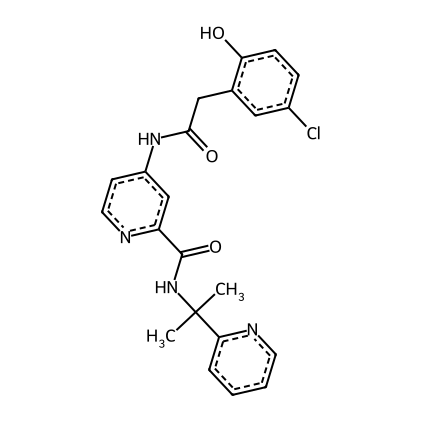 CC(C)(NC(=O)c1cc(NC(=O)Cc2cc(Cl)ccc2O)ccn1)c1ccccn1